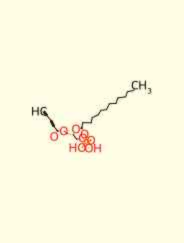 C#CC#CC(=O)OC[C@@H](COP(=O)(O)O)OC(=O)CCCCCCCCCCCCC